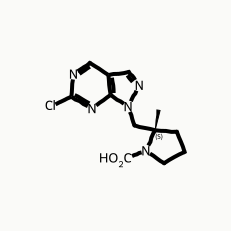 C[C@@]1(Cn2ncc3cnc(Cl)nc32)CCCN1C(=O)O